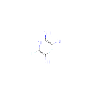 N/C=C\N.NC(F)=C(N)F